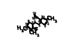 Cc1ccc(CCc2ccc(C)c(C)c2F)c(C2CC2)c1